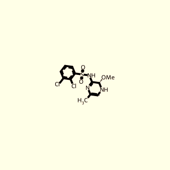 CO[C@@H]1N[C]=C(C)N=C1NS(=O)(=O)c1cccc(Cl)c1Cl